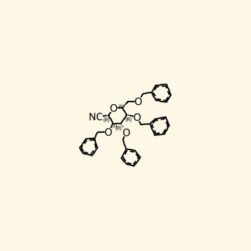 N#C[C@H]1O[C@@H](COCc2ccccc2)[C@@H](OCc2ccccc2)[C@H](OCc2ccccc2)[C@H]1OCc1ccccc1